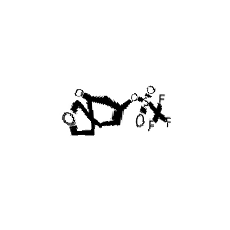 O=C1CC(OS(=O)(=O)C(F)(F)F)=CCC12CCOC2